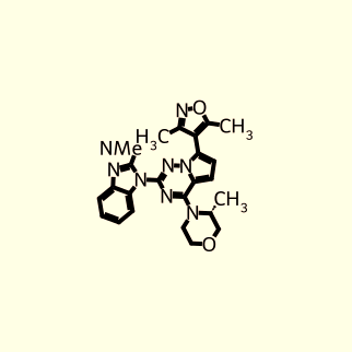 CNc1nc2ccccc2n1-c1nc(N2CCOC[C@H]2C)c2ccc(-c3c(C)noc3C)n2n1